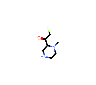 CN1CCNCC1C(=O)CF